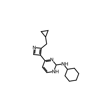 C1=CC(C2=C(CC3CC3)N=C2)=NC(NC2CCCCC2)N1